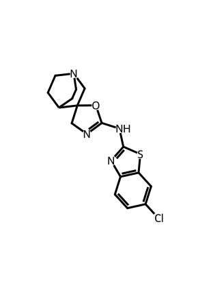 Clc1ccc2nc(NC3=NCC4(CN5CCC4CC5)O3)sc2c1